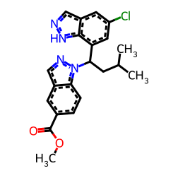 COC(=O)c1ccc2c(cnn2C(CC(C)C)c2cc(Cl)cc3cn[nH]c23)c1